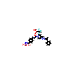 O=C(NO)c1ccc(/C=C/C(=O)N2CCC(CN[C@@H]3C[C@H]3c3ccccc3)CC2)cc1.O=C(O)C(F)(F)F